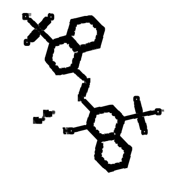 O=S(=O)([O-])c1ccc(/N=N/c2cc(S(=O)(=O)[O-])c3ccccc3c2O)c2ccccc12.[Na+].[Na+]